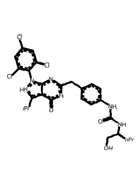 CCCC(CO)NC(=O)Nc1ccc(Cc2nc3n(-c4c(Cl)cc(Cl)cc4Cl)[nH]c(C(C)C)c-3c(=O)n2)cc1